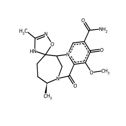 COc1c2n(cc(C(N)=O)c1=O)C1CN(C2=O)[C@@H](C)CCC12NC(C)=NO2